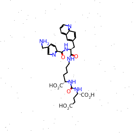 NCc1ccc(C(=O)N[C@@H](Cc2ccc3ncccc3c2)C(=O)NCCCC[C@H](NC(=O)N[C@@H](CCC(=O)O)C(=O)O)C(=O)O)nc1